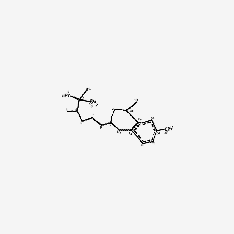 BC(C)(CCC)C(C)CCCC1Cc2ccc(O)cc2C(C)C1